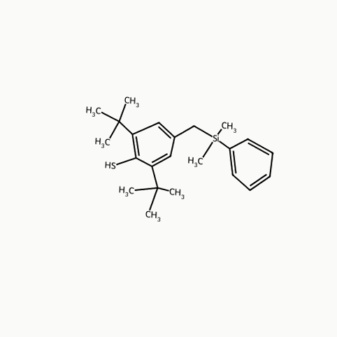 CC(C)(C)c1cc(C[Si](C)(C)c2ccccc2)cc(C(C)(C)C)c1S